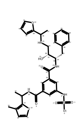 CCS(=O)(=O)Nc1cc(C(=O)NC(C)c2sccc2C)cc(C(=O)N[C@@H](Cc2ccccc2)[C@H](O)CNC(C)c2ccco2)c1